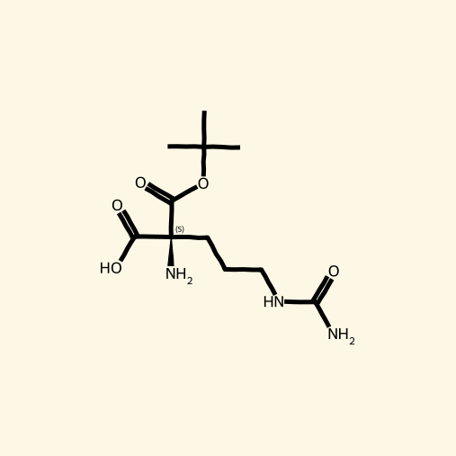 CC(C)(C)OC(=O)[C@](N)(CCCNC(N)=O)C(=O)O